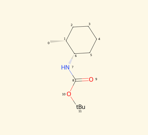 C[C@@H]1CCCC[C@@H]1NC(=O)OC(C)(C)C